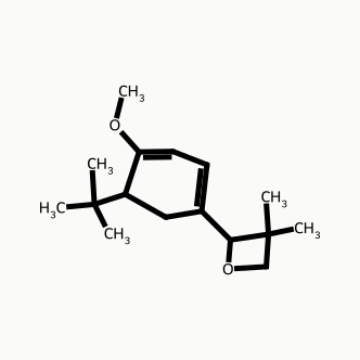 COC1=CC=C(C2OCC2(C)C)CC1C(C)(C)C